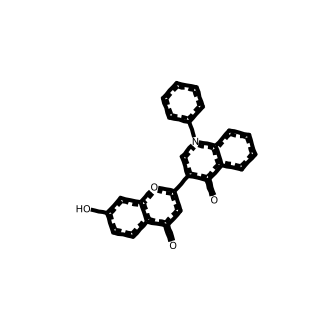 O=c1cc(-c2cn(-c3ccccc3)c3ccccc3c2=O)oc2cc(O)ccc12